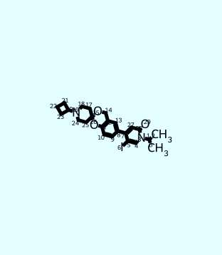 CC(C)n1cc(I)c(-c2ccc3c(c2)COC2(CCN(C4CCC4)CC2)O3)cc1=O